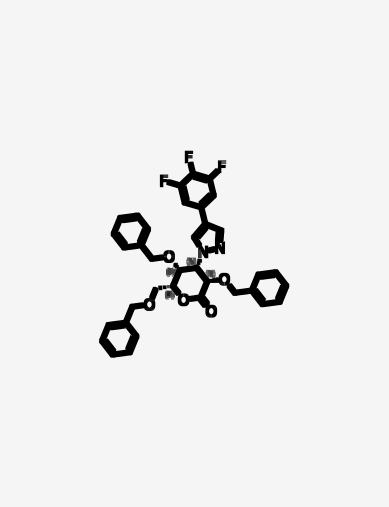 O=C1O[C@H](COCc2ccccc2)[C@H](OCc2ccccc2)[C@H](n2cc(-c3cc(F)c(F)c(F)c3)cn2)[C@H]1OCc1ccccc1